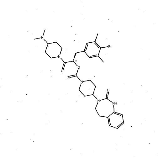 Cc1cc(C[C@@H](OC(=O)N2CCC(N3CCc4ccccc4NC3=O)CC2)C(=O)N2CCC(N(C)C)CC2)cc(C)c1Br